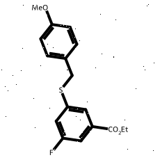 CCOC(=O)c1cc(F)cc(SCc2ccc(OC)cc2)c1